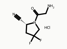 Cl.N#C[C@H]1CC(F)(F)CN1C(=O)CN